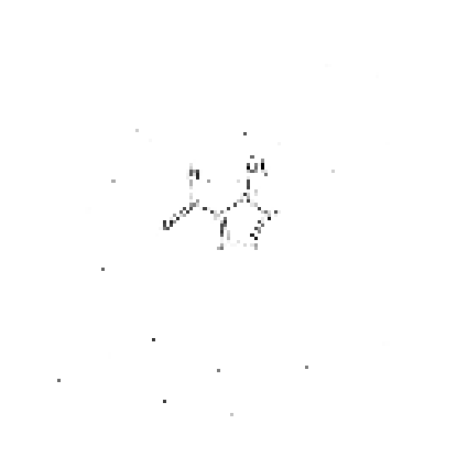 CCC(=O)c1ccnn1C